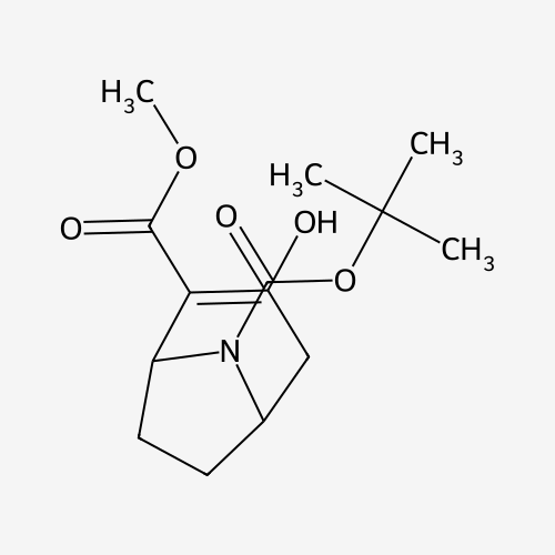 COC(=O)C1=C(O)CC2CCC1N2C(=O)OC(C)(C)C